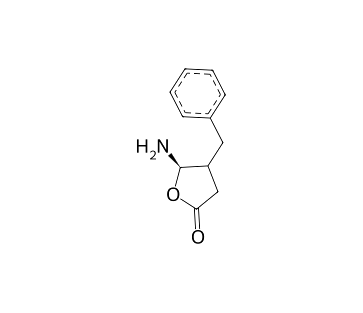 N[C@@H]1OC(=O)CC1Cc1ccccc1